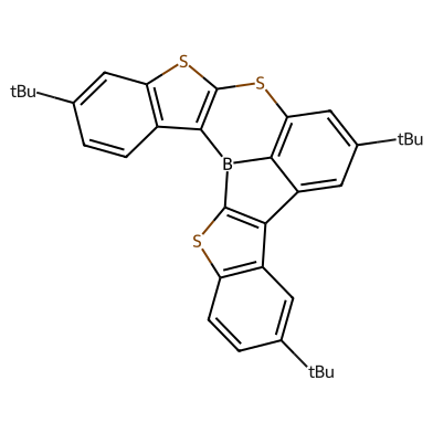 CC(C)(C)c1cc2c3c(c1)-c1c(sc4ccc(C(C)(C)C)cc14)B3c1c(sc3cc(C(C)(C)C)ccc13)S2